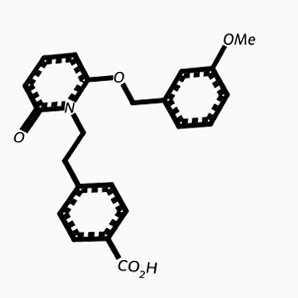 COc1cccc(COc2cccc(=O)n2CCc2ccc(C(=O)O)cc2)c1